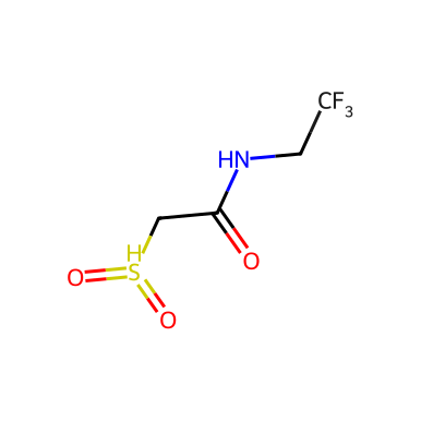 O=C(C[SH](=O)=O)NCC(F)(F)F